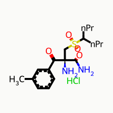 CCCC(CCC)S(=O)(=O)C[C@](N)(C(N)=O)C(=O)c1cccc(C)c1.Cl